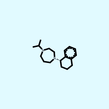 CC(C)N1CCCN([C@H]2CCCc3ccccc32)CC1